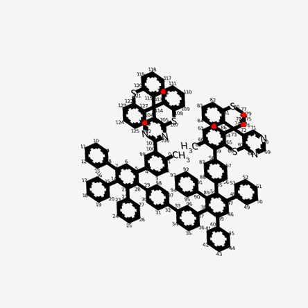 Cc1ccc(-c2cc(-c3ccccc3)c(-c3ccccc3)c(-c3ccccc3)c2-c2ccc(-c3cccc(-c4c(-c5ccccc5)cc(-c5ccccc5)c(-c5ccc(-c6c(C)ccc7c6Sc6ncncc6C76c7ccccc7Sc7ccccc76)cc5)c4-c4ccccc4)c3)cc2)cc1-c1ncc2c(n1)Sc1ccccc1C21c2ccccc2Sc2ccccc21